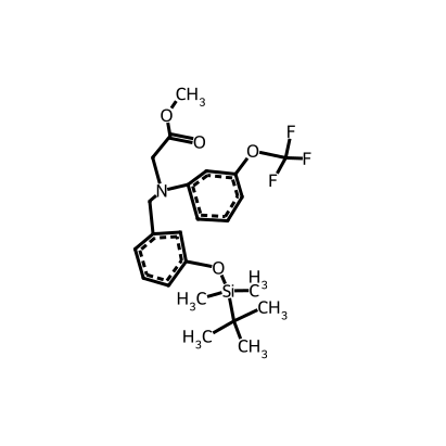 COC(=O)CN(Cc1cccc(O[Si](C)(C)C(C)(C)C)c1)c1cccc(OC(F)(F)F)c1